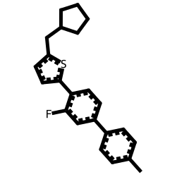 Cc1ccc(-c2ccc(-c3ccc(CC4CCCC4)s3)c(F)c2)cc1